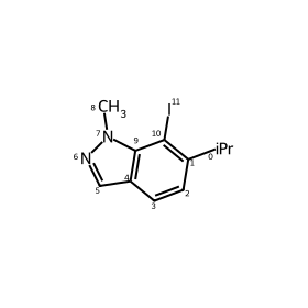 CC(C)c1ccc2cnn(C)c2c1I